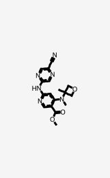 COC(=O)c1cnc(Nc2cnc(C#N)cn2)cc1N(C)C1(C)COC1